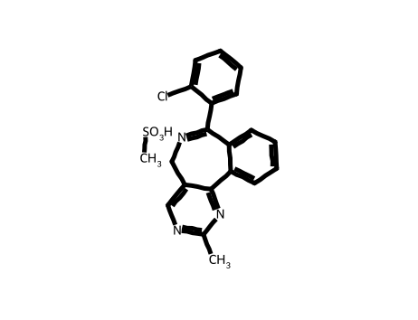 CS(=O)(=O)O.Cc1ncc2c(n1)-c1ccccc1C(c1ccccc1Cl)=NC2